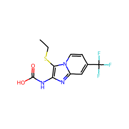 CCSc1c(NC(=O)O)nc2cc(C(F)(F)F)ccn12